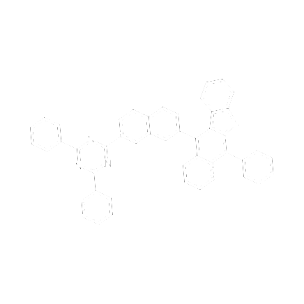 c1ccc(-c2nc(-c3ccccc3)nc(-c3ccc4ccc(-c5c6ccccc6c(-c6ccccc6)c6sc7ccccc7c56)cc4c3)n2)cc1